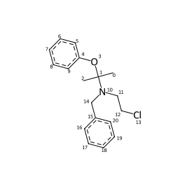 CC(C)(Oc1ccccc1)N(CCCl)Cc1ccccc1